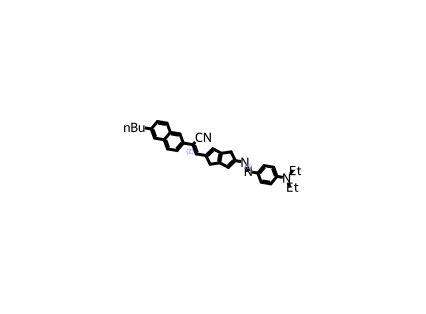 CCCCc1ccc2cc(/C(C#N)=C/C3=CC4=C(C=C(/N=N/c5ccc(N(CC)CC)cc5)C4)C3)ccc2c1